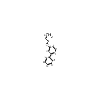 C=CCOc1cccc(-c2[c]cccc2)c1